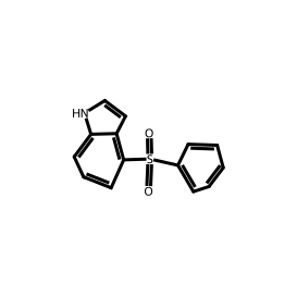 O=S(=O)(c1ccccc1)c1cccc2[nH]ccc12